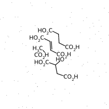 CC(=O)O.O=C(O)C=CC(=O)O.O=C(O)CC(O)C(=O)O.O=C(O)CCC(=O)O